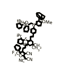 COc1ccc(N(CCO[Si](c2ccccc2)(c2ccccc2)C(C)(C)C)c2ccc(/C=C/C3=C(Sc4c(C(C)C)cccc4C(C)C)C(=C/C=C/C4=C(C#N)C(=C(C#N)C#N)OC4(c4ccccc4)C(F)(F)F)/CC(C)(C)C3)cc2)cc1C12CC3CC(CC(C3)C1)C2